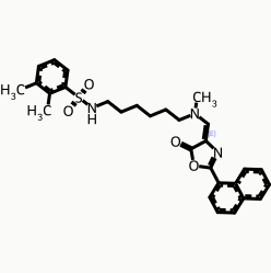 Cc1cccc(S(=O)(=O)NCCCCCCN(C)/C=C2/N=C(c3cccc4ccccc34)OC2=O)c1C